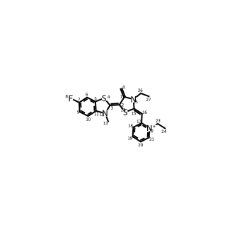 C=C1/C(=C2\Sc3cc(F)ccc3N2C)S/C(=C\c2cccc[n+]2CC)N1CC